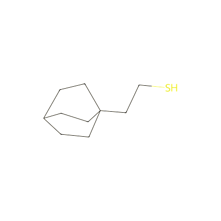 SCCC12CCC(CC1)CC2